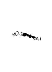 O=C(O)c1ccc(/C=C/c2ccc(C#CCO)cc2)cc1